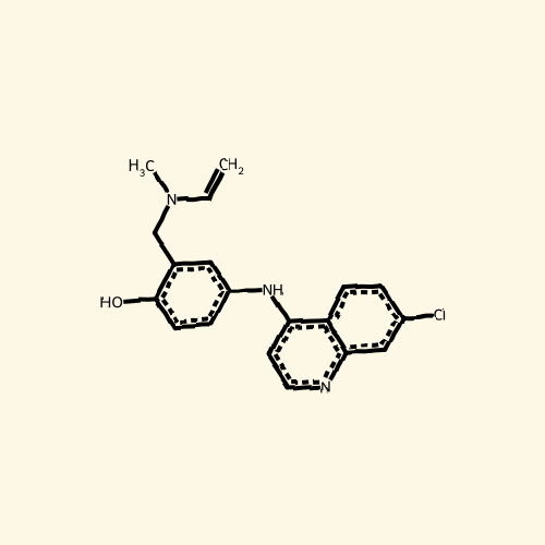 C=CN(C)Cc1cc(Nc2ccnc3cc(Cl)ccc23)ccc1O